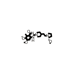 COC[C@H]1CCCN1CCC1CCN(c2nc(=O)c3c(C)c(OC)c(OC)cc3[nH]2)CC1